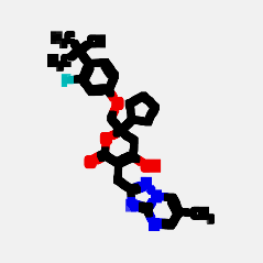 Cc1cnc2nc(CC3=C(O)CC(COc4ccc(C(C)(C)C#N)c(F)c4)(C4CCCC4)OC3=O)nn2c1